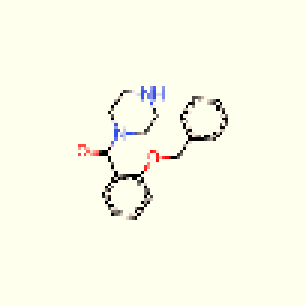 O=C(c1ccccc1OCc1ccccc1)N1CCNCC1